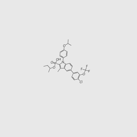 CCC(C)OP(=O)(O)c1c(C)c2cc(-c3ccc(Cl)c(OC(F)(F)F)c3)ccc2n1-c1ccc(OC(C)C)cc1